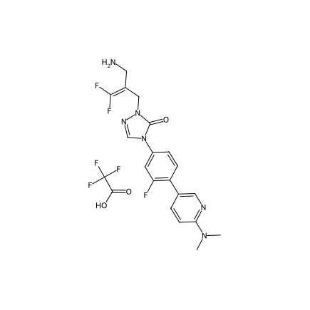 CN(C)c1ccc(-c2ccc(-n3cnn(CC(CN)=C(F)F)c3=O)cc2F)cn1.O=C(O)C(F)(F)F